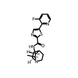 C[C@H]1[C@H](NC(=O)c2ncc(-c3ncccc3F)s2)C2CCN1CC2